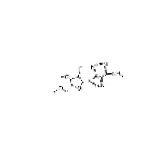 COC[C@H]1O[C@@H](n2cnc3c(N)ncnc32)C(F)C1O